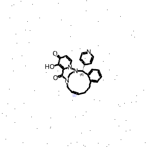 O=C1c2c(O)c(=O)ccn2N2CN1C/C=C\CCc1ccccc1[C@H]2c1ccncc1